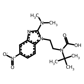 CN(C)c1nc2cc([N+](=O)[O-])ccc2n1CCN(C(=O)O)C(C)(C)C